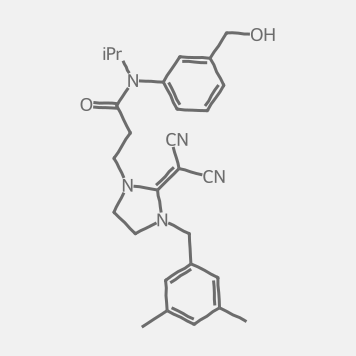 Cc1cc(C)cc(CN2CCN(CCC(=O)N(c3cccc(CO)c3)C(C)C)C2=C(C#N)C#N)c1